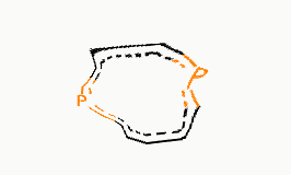 c1cpccp1